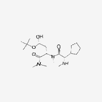 CN[C@H](C(=O)N(C)[C@@H](C[C@@H](O)OC(C)(C)C)C(=O)N(C)C)C1CCCC1